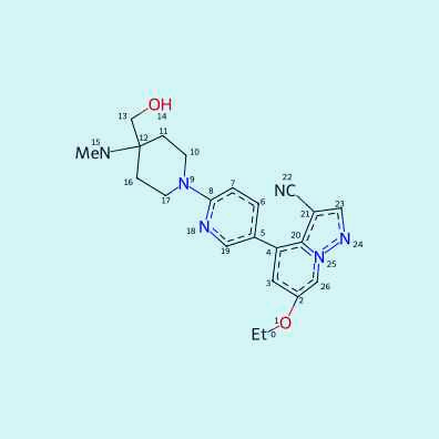 CCOc1cc(-c2ccc(N3CCC(CO)(NC)CC3)nc2)c2c(C#N)cnn2c1